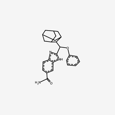 NC(=O)c1ccc2nc(C(Oc3ccccc3)C3C4CC5CC(C4)CC3C5)[nH]c2c1